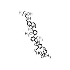 Cc1c(Nc2nccc3cc(CNC[C@H](C)O)cnc23)cccc1-c1cccc(-c2nc3cc(CN4CC[C@@](C)(C(=O)O)C4)cc(C#N)c3o2)c1C